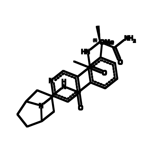 COc1cccc(C(=O)NC2CC3CCC(C2)N3c2ccc(C(=O)N[C@@H](C)C(N)=O)cn2)c1C